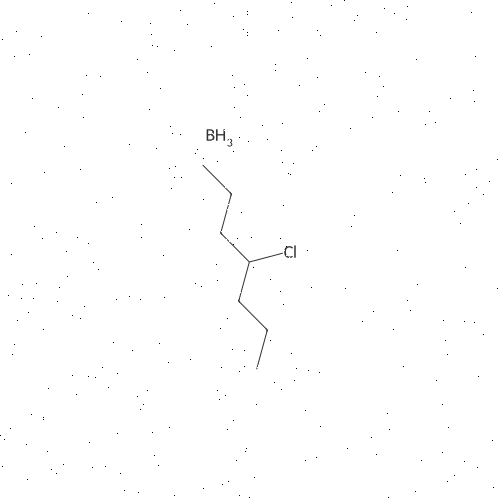 B.CCCC(Cl)CCC